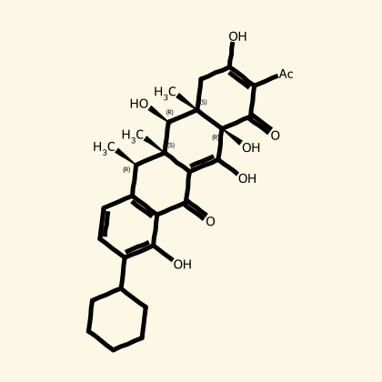 CC(=O)C1=C(O)C[C@@]2(C)[C@H](O)[C@]3(C)C(=C(O)[C@@]2(O)C1=O)C(=O)c1c(ccc(C2CCCCC2)c1O)[C@H]3C